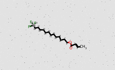 CC=CC(=O)OCCCCCCCCCCCCC[Si](F)(F)F